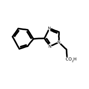 O=C(O)Cn1cnc(-c2ccccc2)n1